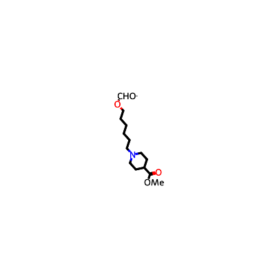 COC(=O)C1CCN(CCCCCCO[C]=O)CC1